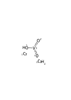 [CaH2].[Cr].[O]=[V](=[O])[OH]